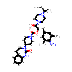 CCCCCC(C)N1CCN(C(=O)[C@@H](Cc2cc(C)c(N)c(C)c2)OC(=O)N2CCC(N3CCc4ccccc4NC3=O)CC2)CC1